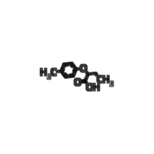 CCC(Oc1ccc(C)cc1)C(=O)O